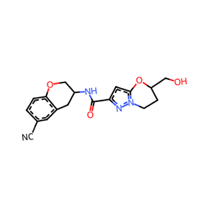 N#Cc1ccc2c(c1)CC(NC(=O)c1cc3n(n1)CCC(CO)O3)CO2